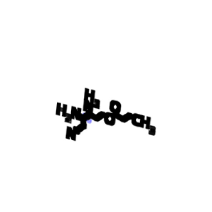 CCCC(=O)OCC/C(N)=C(/N)CC#N